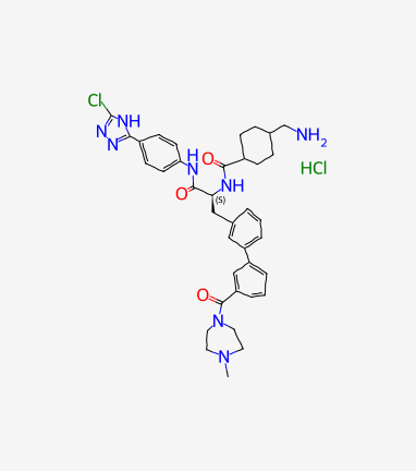 CN1CCN(C(=O)c2cccc(-c3cccc(C[C@H](NC(=O)C4CCC(CN)CC4)C(=O)Nc4ccc(-c5nnc(Cl)[nH]5)cc4)c3)c2)CC1.Cl